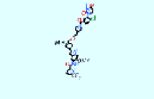 COc1cc2c(cc1NC(=O)c1cccc(C(F)(F)F)n1)=CC(C1CCC(COCCC3CCN(C(=O)c4ccc(Cl)c(N5CCC(=O)NC5=O)c4)CC3)(OC)CC1)N=2